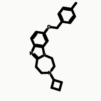 Cc1ccc(COc2ccc3nc4n(c3c2)CCN(C2CCC2)CC4)cc1